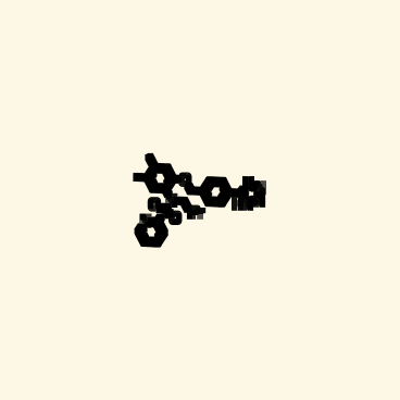 Cc1cc(OCc2ccc(-c3nnn[nH]3)cc2)c(N(CC(C)C)S(=O)(=O)c2ccccn2)cc1C